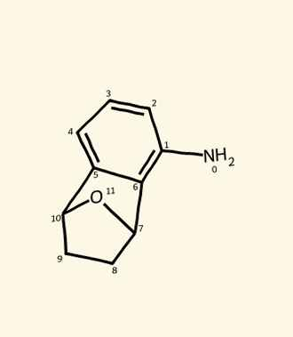 Nc1cccc2c1C1CCC2O1